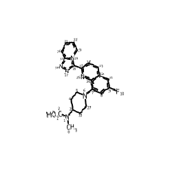 CN(C(=O)O)C1CCN(c2cc(F)cc3ccc(-c4nnc5ccccn45)nc23)CC1